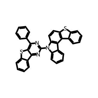 c1ccc(-c2nc(-n3c4ccccc4c4c5c(ccc43)sc3ccccc35)nc3c2sc2ccccc23)cc1